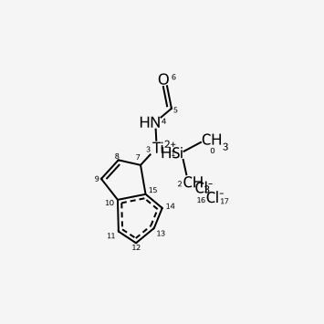 C[SiH](C)[Ti+2]([NH]C=O)[CH]1C=Cc2ccccc21.[Cl-].[Cl-]